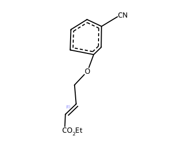 CCOC(=O)/C=C/COc1cccc(C#N)c1